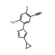 Cc1cc(F)c(C#N)cc1-n1cc(C2CC2)nn1